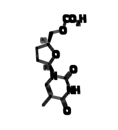 Cc1cn([C@H]2CC[C@@H](COC(=O)O)O2)c(=O)[nH]c1=O